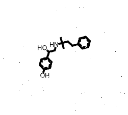 CC(C)(CCc1ccccc1)NCC(O)c1ccc(O)cc1